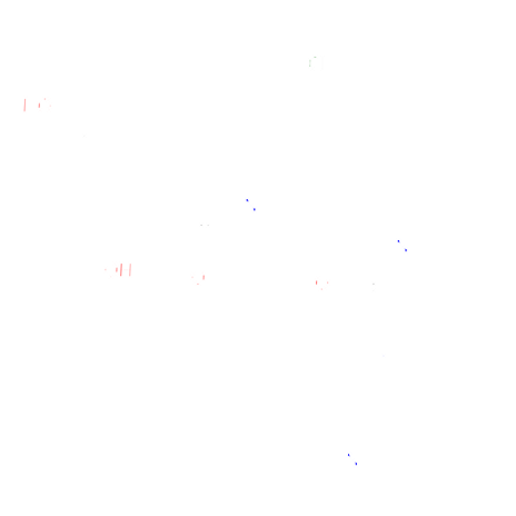 Cc1cc(C(=O)N2Cc3c(Cl)ccc(N(C)C(=O)/C=C/CN(C)C)c3C2)c(O)cc1O